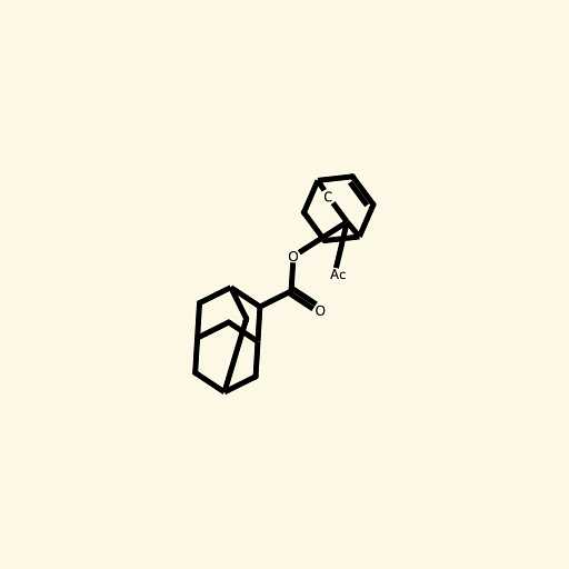 CC(=O)C1(OC(=O)C2C3CC4CC(C3)CC2C4)CC2C=CC1CC2